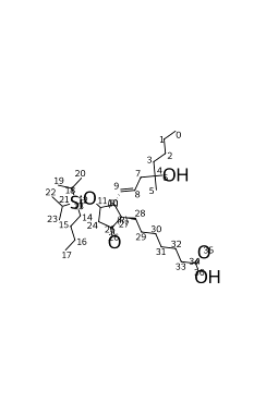 CCCCC(C)(O)CC=C[C@H]1C(O[Si](CCCC)(C(C)C)C(C)C)CC(=O)[C@@H]1CCCCCCC(=O)O